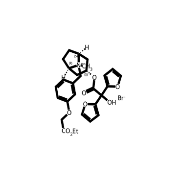 CCOC(=O)COc1cccc(C[N+]2(C)[C@@H]3CC[C@H]2C[C@H](OC(=O)C(O)(c2ccco2)c2ccco2)C3)c1.[Br-]